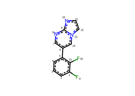 Fc1cccc(-c2cnc3nccn3c2)c1F